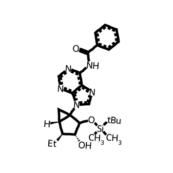 CC[C@@H]1[C@@H](O)C(O[Si](C)(C)C(C)(C)C)C2(n3cnc4c(NC(=O)c5ccccc5)ncnc43)C[C@@H]12